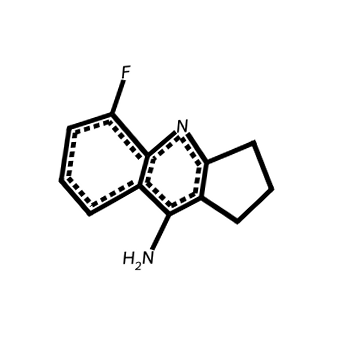 Nc1c2c(nc3c(F)cccc13)CCC2